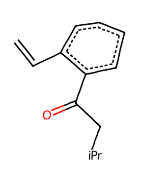 C=Cc1ccccc1C(=O)CC(C)C